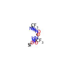 CC(Cc1ccc(C(=O)N2CCN(N3C=C(C(F)(F)F)C=NC3)CC2)o1)Nc1cnn(COCC[Si](C)(C)C)c(=O)c1C(F)(F)F